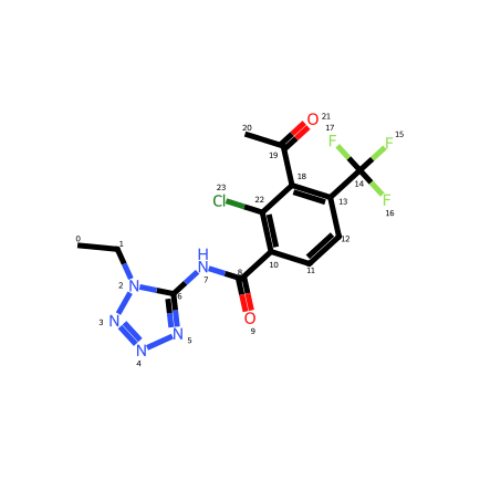 CCn1nnnc1NC(=O)c1ccc(C(F)(F)F)c(C(C)=O)c1Cl